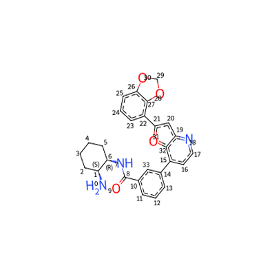 N[C@H]1CCCC[C@H]1NC(=O)c1cccc(-c2ccnc3cc(-c4cccc5c4OCO5)oc23)c1